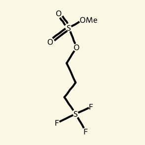 COS(=O)(=O)OCCCS(F)(F)F